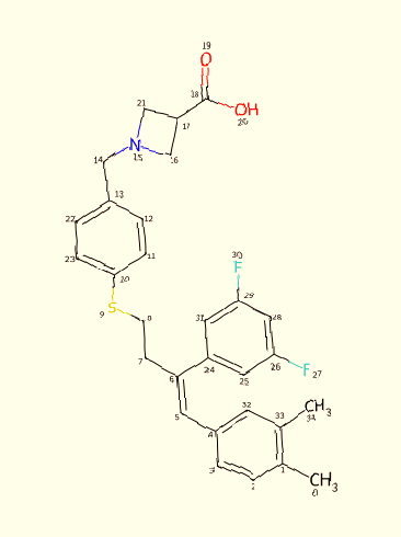 Cc1ccc(C=C(CCSc2ccc(CN3CC(C(=O)O)C3)cc2)c2cc(F)cc(F)c2)cc1C